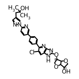 CC(C)(O)Cc1cnn(-c2ccc(-c3ccc(-c4nc5nc(O[C@@H]6COC7C6OC[C@H]7O)[nH]c5cc4Cl)cc3)cn2)c1